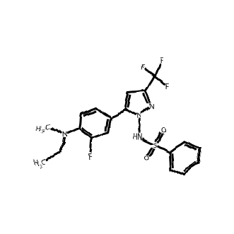 CCN(C)c1ccc(-c2cc(C(F)(F)F)nn2NS(=O)(=O)c2ccccc2)cc1F